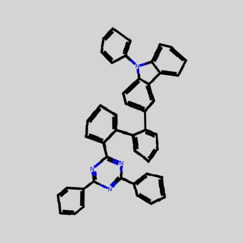 c1ccc(-c2nc(-c3ccccc3)nc(-c3ccccc3-c3ccccc3-c3ccc4c(c3)c3ccccc3n4-c3ccccc3)n2)cc1